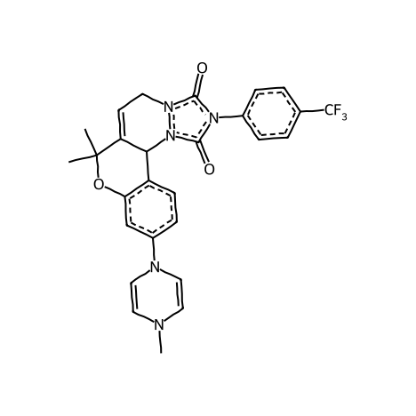 CN1C=CN(c2ccc3c(c2)OC(C)(C)C2=CCn4c(=O)n(-c5ccc(C(F)(F)F)cc5)c(=O)n4C23)C=C1